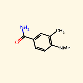 CNc1ccc(C(N)=O)cc1C